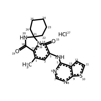 Cc1cc(Nc2ncnc3sccc23)c(=O)n2c1C(=O)NC21CCCCC1.Cl